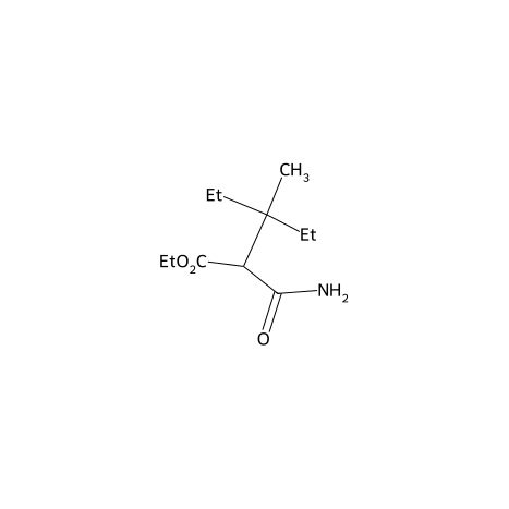 CCOC(=O)C(C(N)=O)C(C)(CC)CC